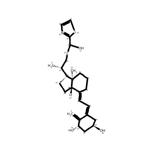 C=C1/C(=C\C=C2/CCC[C@]3(C)[C@@H]([C@H](C)CCC(O)c4nccs4)CC[C@@H]23)C[C@@H](O)C[C@@H]1O